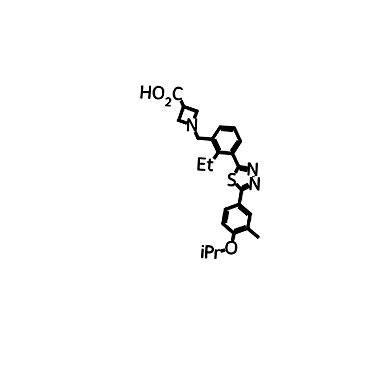 CCc1c(CN2CC(C(=O)O)C2)cccc1-c1nnc(-c2ccc(OC(C)C)c(C)c2)s1